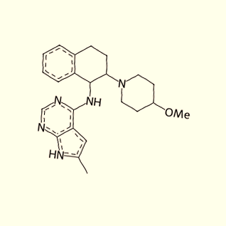 COC1CCN(C2CCc3ccccc3C2Nc2ncnc3[nH]c(C)cc23)CC1